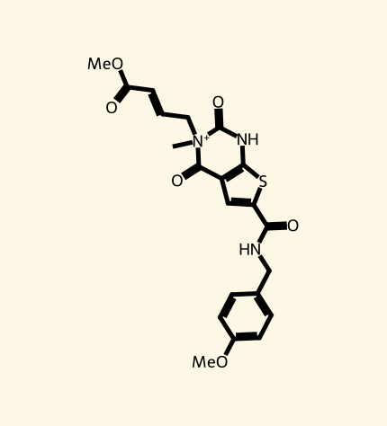 COC(=O)/C=C/C[N+]1(C)C(=O)Nc2sc(C(=O)NCc3ccc(OC)cc3)cc2C1=O